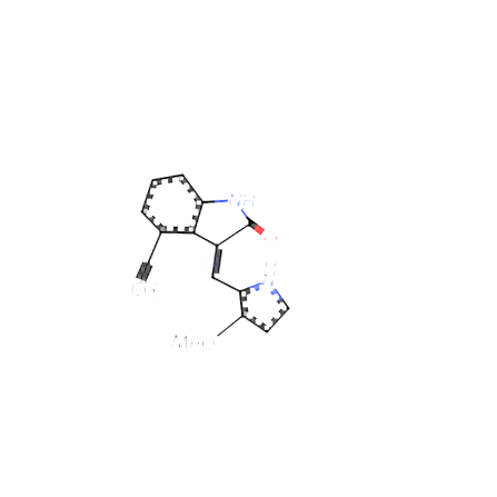 C#Cc1cccc2c1/C(=C/c1[nH]ccc1OC)C(=O)N2